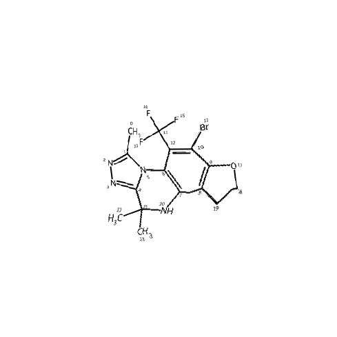 Cc1nnc2n1-c1c(c3c(c(Br)c1C(F)(F)F)OCC3)NC2(C)C